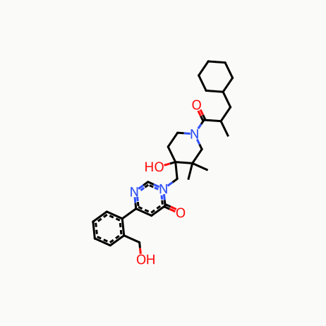 CC(CC1CCCCC1)C(=O)N1CCC(O)(Cn2cnc(-c3ccccc3CO)cc2=O)C(C)(C)C1